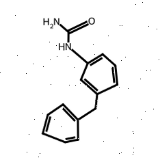 NC(=O)Nc1cccc(Cc2ccccc2)c1